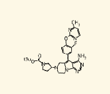 Cc1ccnc(Oc2ccc(-c3c4n(c5ncnc(N)c35)CCN(C3CCN(C(=O)OC(C)(C)C)C3)C4)cc2F)n1